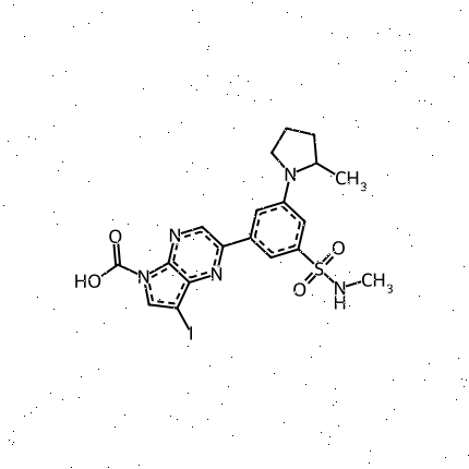 CNS(=O)(=O)c1cc(-c2cnc3c(n2)c(I)cn3C(=O)O)cc(N2CCCC2C)c1